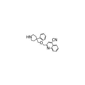 N#Cc1cc(COCC2(c3ccccc3)CCNCC2)nc2ccccc12